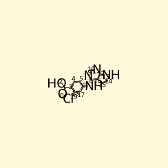 O=C(O)c1ccc(Nc2ncnc3[nH]ccc23)cc1Cl